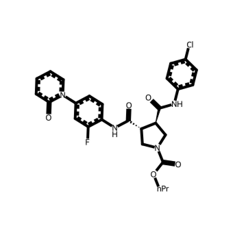 CCCOC(=O)N1C[C@H](C(=O)Nc2ccc(Cl)cc2)[C@@H](C(=O)Nc2ccc(-n3ccccc3=O)cc2F)C1